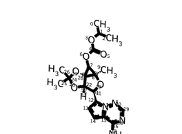 CC(C)OC(=O)OC1[C@@]2(C)O[C@@H](c3ccc4c(N)ncnn34)[C@@H]3OC(C)(C)O[C@@]132